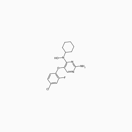 Nc1ncc(Oc2ccc(Cl)cc2F)c(N(O)C2CCCCC2)n1